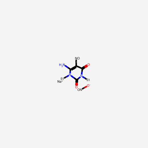 CCn1c(N)c(N=O)c(=O)n(CC)c1=O.O=N[O-].[Na+]